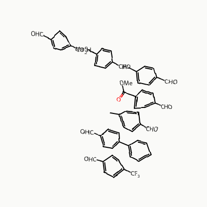 CC(C)c1ccc(C=O)cc1.COC(=O)c1ccc(C=O)cc1.CSc1ccc(C=O)cc1.Cc1ccc(C=O)cc1.O=Cc1ccc(-c2ccccc2)cc1.O=Cc1ccc(C(=O)O)cc1.O=Cc1ccc(C(F)(F)F)cc1